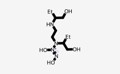 CCC(CO)NCCN(C(CC)CO)/[N+](O)=N/O